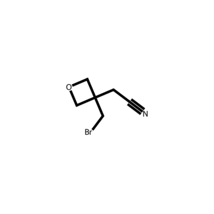 N#CCC1(CBr)COC1